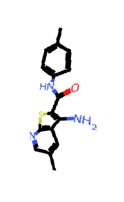 Cc1ccc(NC(=O)c2sc3ncc(C)cc3c2N)cc1